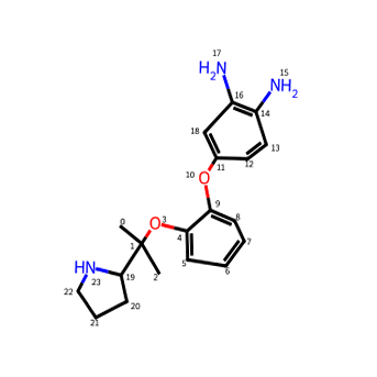 CC(C)(Oc1ccccc1Oc1ccc(N)c(N)c1)C1CCCN1